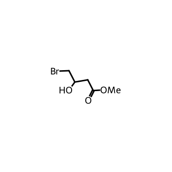 COC(=O)CC(O)CBr